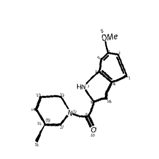 COc1ccc2c(c1)NC(C(=O)N1CCC[C@H](C)C1)C2